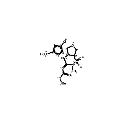 CN1/C(=N\C(=O)OC(C)(C)C)N[C@@]2(c3sc(C(=O)O)cc3Cl)COCC2S1(=O)=O